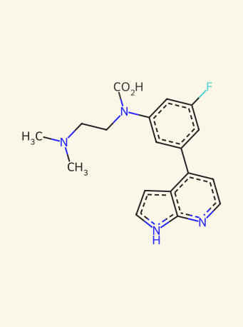 CN(C)CCN(C(=O)O)c1cc(F)cc(-c2ccnc3[nH]ccc23)c1